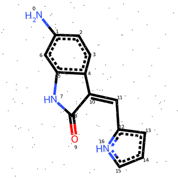 Nc1ccc2c(c1)NC(=O)C2=Cc1ccc[nH]1